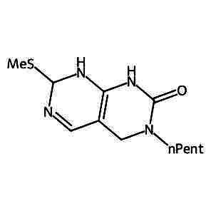 CCCCCN1CC2=C(NC1=O)NC(SC)N=C2